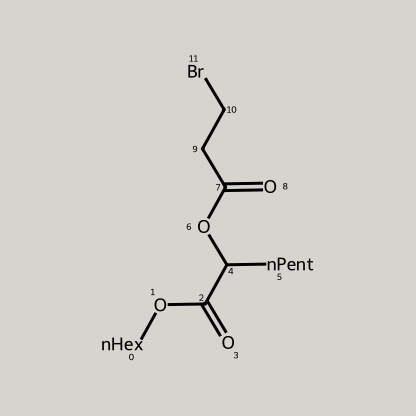 CCCCCCOC(=O)C(CCCCC)OC(=O)CCBr